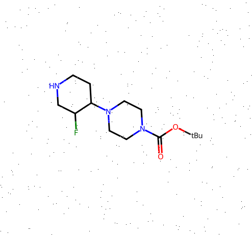 CC(C)(C)OC(=O)N1CCN(C2CCNCC2F)CC1